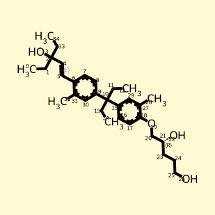 CCC(O)(/C=C/c1ccc(C(CC)(CC)c2ccc(OC[C@H](O)CCCO)c(C)c2)cc1C)CC